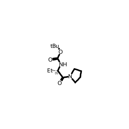 CC[C@H](NC(=O)OC(C)(C)C)C(=O)N1CCCC1